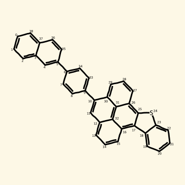 c1ccc2cc(-c3ccc(-c4cc5cccc6c7c8ccccc8sc7c7cccc4c7c56)cc3)ccc2c1